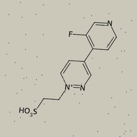 O=S(=O)(O)CC[n+]1ccc(-c2ccncc2F)cn1